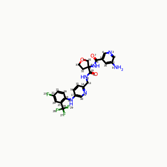 Nc1cncc(C(=O)NC2(C(=O)NCc3ccc(Nc4ccc(F)cc4C(F)(F)F)cn3)CCOC2)c1